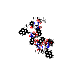 Cc1cccc(OCC(CNC(=O)OC(C)(C)C)N2C(=O)C3Cc4cccc(OCC(CNC(=O)Cc5ccc6ccc7cccc8ccc5c6c78)N5C(=O)C6Cc7cccc(OCC(CNC(=O)OC(C)(C)C)N8C(=O)C9Cc%10cccc(OCC(CNC(=O)Cc%11ccc%12ccc%13cccc%14ccc%11c%12c%13%14)N%11C(=O)[C@@H]%12[C@H](C%11=O)[C@H]%11C=C[C@@H]%12O%11)c%10C(O)C9C8=O)c7C(O)C6C5=O)c4C(O)C3C2=O)c1C=O